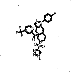 Cn1cc(S(=O)(=O)N2CCC3=Cc4c(cnn4-c4ccc(F)cc4)CC3(C(=O)c3cc(C(F)(F)F)ccn3)C2)nn1